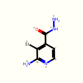 CCc1c(C(=O)NN)ccnc1N